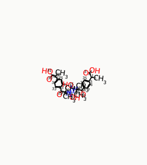 CC(C(=O)O)c1ccc(C(=O)C(C)(C)/[N+](O)=[N+](\O)C(C)(C)C(=O)c2ccc(C(C)C(=O)O)cc2)cc1